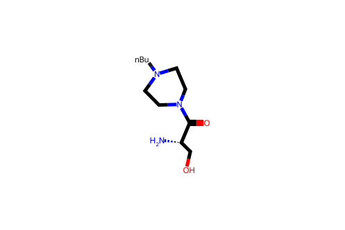 [CH2]CCCN1CCN(C(=O)[C@@H](N)CO)CC1